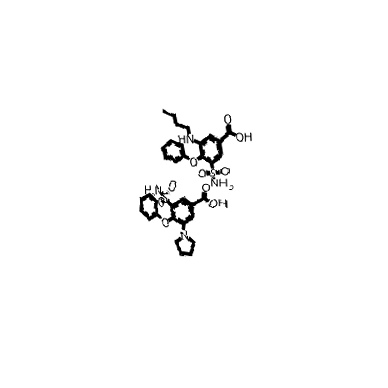 CCCCNc1cc(C(=O)O)cc(S(N)(=O)=O)c1Oc1ccccc1.NS(=O)(=O)c1cc(C(=O)O)cc(N2CCCC2)c1Oc1ccccc1